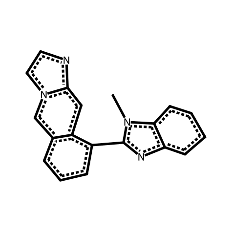 Cn1c(-c2cccc3cn4ccnc4cc23)nc2ccccc21